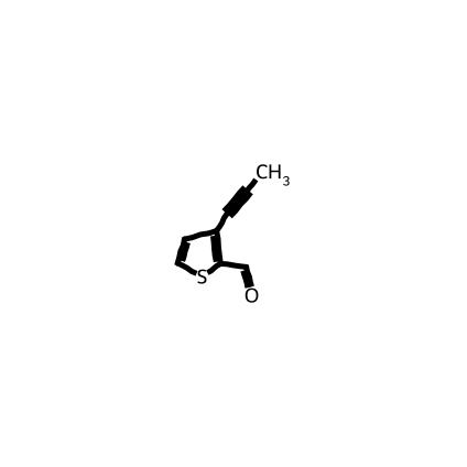 CC#Cc1ccsc1C=O